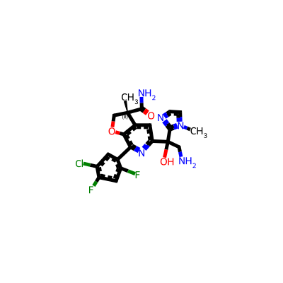 Cn1ccnc1C(O)(CN)c1cc2c(c(-c3cc(Cl)c(F)cc3F)n1)OC[C@]2(C)C(N)=O